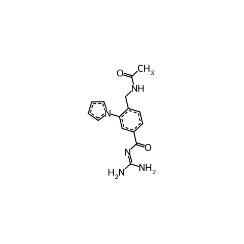 CC(=O)NCc1ccc(C(=O)N=C(N)N)cc1-n1cccc1